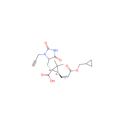 C#CCN1C(=O)NC(=O)C1C[C@@]1(C(=O)O)[C@H](/C=C\C(=O)OCC2CC2)C1(C)C